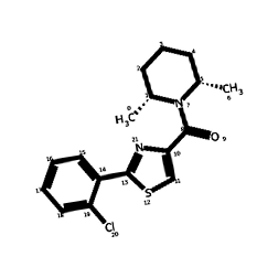 C[C@@H]1CCC[C@H](C)N1C(=O)c1csc(-c2ccccc2Cl)n1